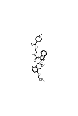 Cc1c(OCC(F)(F)F)ccnc1C[S+]([O-])c1nc2ccccc2n1C(=O)N(C)CCOC(=O)C1CCN(C)CC1